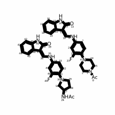 CC(=O)N1CCN(c2ccc(NC=C3C(=O)Nc4ccccc43)cc2F)CC1.CC(=O)NC1CCN(c2ccc(NC=C3C(=O)Nc4ccccc43)cc2F)C1